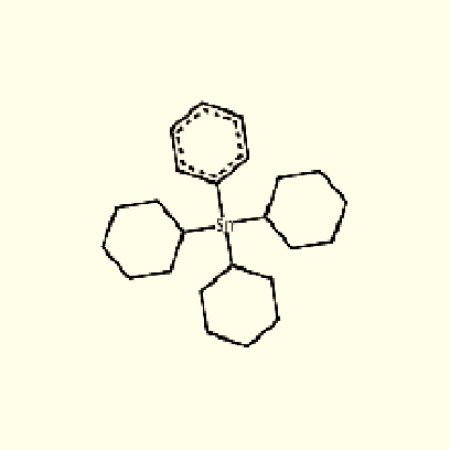 c1cc[c]([Sn]([CH]2CCCCC2)([CH]2CCCCC2)[CH]2CCCCC2)cc1